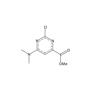 COC(=O)c1cc(N(C)C)nc(Cl)n1